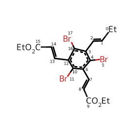 CC/C=C/c1c(Br)c(/C=C/C(=O)OCC)c(Br)c(/C=C/C(=O)OCC)c1Br